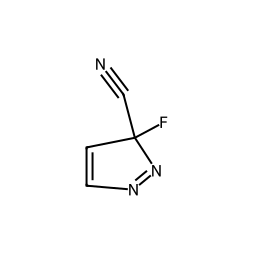 N#CC1(F)C=CN=N1